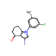 N#Cc1cc(F)cc(-n2cc(I)c3c2CCCC3=O)c1